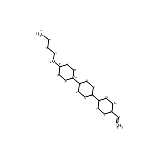 C=CC1CCC(C2CCC(C3CCC(OCCCC)CC3)CC2)CC1